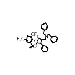 C=C(OC1OCC(CN(Cc2ccccc2)Cc2ccccc2)C1c1ccccc1)c1cc(C(F)(F)F)cc(C(F)(F)F)c1